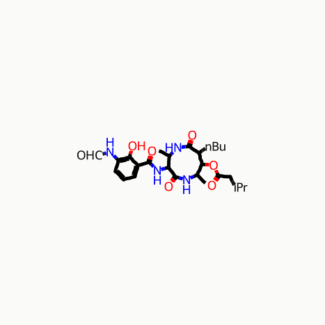 CCCCC1C(=O)NC(C)C(NC(=O)c2cccc(NC=O)c2O)C(=O)NC(C)C1OC(=O)CC(C)C